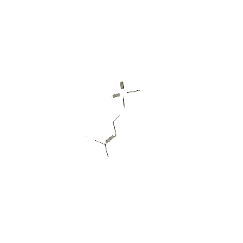 CCCCCS(=O)(=O)OCC=C(C)C(=O)O